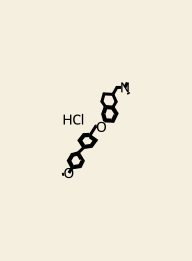 COc1ccc(-c2ccc(COc3ccc4c(c3)CCC(CN(C)C)C4)cc2)cc1.Cl